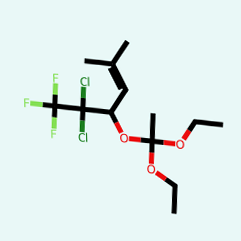 CCOC(C)(OCC)OC(C=C(C)C)C(Cl)(Cl)C(F)(F)F